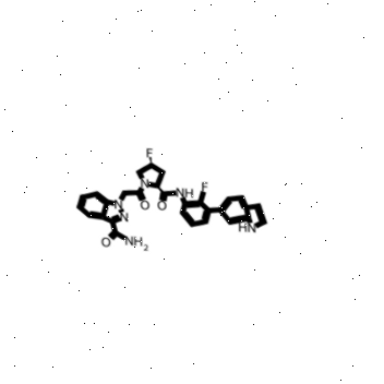 NC(=O)c1nn(CC(=O)N2C[C@H](F)C[C@H]2C(=O)Nc2cccc(-c3ccc4cc[nH]c4c3)c2F)c2ccccc12